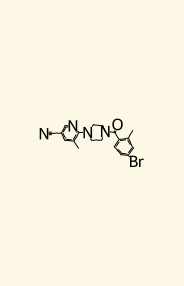 Cc1cc(Br)ccc1C(=O)N1CCN(c2ncc(C#N)cc2C)CC1